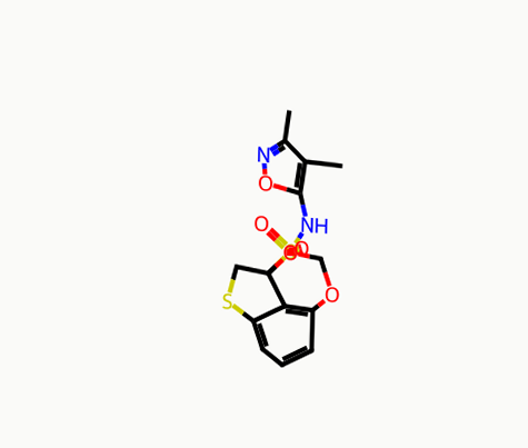 Cc1noc(NS(=O)(=O)C23CSc4cccc(c42)OCO3)c1C